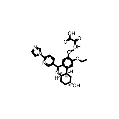 CCOc1cc2c(cc1OC)C(c1ccc(-n3ccnc3)nc1)=N[C@@H]1CC[C@@H](O)C[C@H]21.O=C(O)C(=O)O